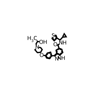 C[C@@H](O)CN1CCC(Oc2ccc(-c3n[nH]c4ccc(C(=O)N[C@H](c5ccsc5)C5CC5)cc34)cc2)CC1